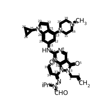 C=CCn1c(=O)c2cnc(Nc3cc(N4CCN(C)CC4)c4ccn(C5CC5)c4c3)nc2n1C(/C=C\C)=N/N(C=O)C(C)C